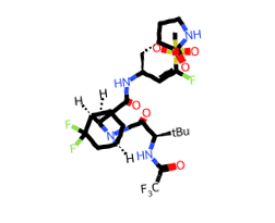 CC(C)(C)[C@@H](NC(=O)C(F)(F)F)C(=O)N1[C@H]2CC[C@@H]([C@H]1C(=O)N[C@H](/C=C(/F)S(C)(=O)=O)C[C@@H]1CCNC1=O)C(F)(F)C2